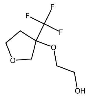 OCCOC1(C(F)(F)F)CCOC1